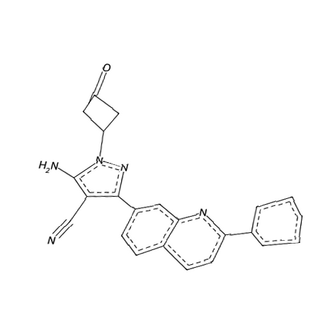 N#Cc1c(-c2ccc3ccc(-c4ccccc4)nc3c2)nn(C2CC(=O)C2)c1N